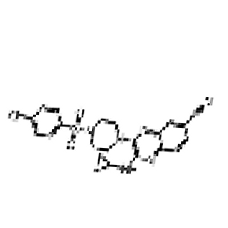 N#Cc1ccc2nc(NC3CC3)c(N3CCN(S(=O)(=O)c4ccc(Cl)cc4)CC3)nc2c1